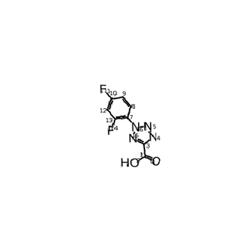 O=C(O)c1nnn(-c2ccc(F)cc2F)n1